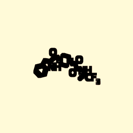 C[C@@H](NC(=O)C(=O)N1CCN(C(=O)c2cc3ccccc3[nH]2)CC1)C(F)(F)F